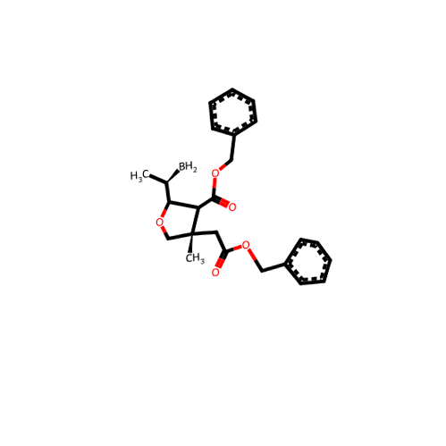 B[C@H](C)C1OC[C@@](C)(CC(=O)OCc2ccccc2)C1C(=O)OCc1ccccc1